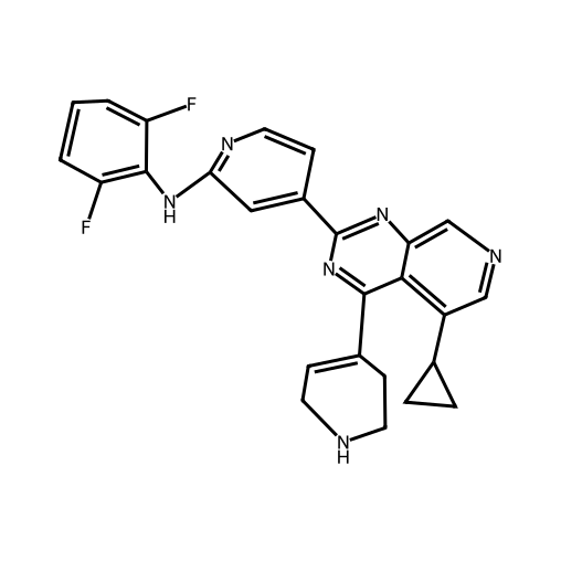 Fc1cccc(F)c1Nc1cc(-c2nc(C3=CCNCC3)c3c(C4CC4)cncc3n2)ccn1